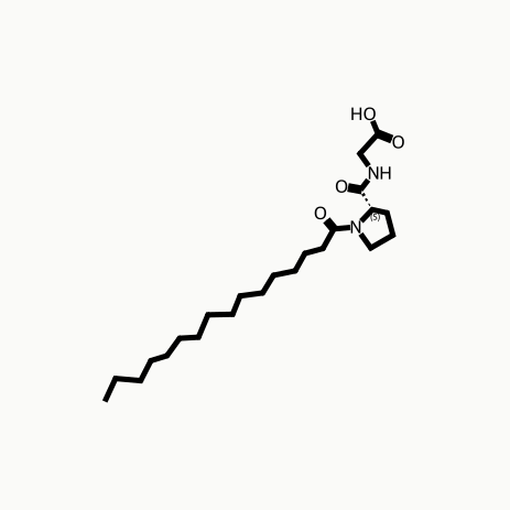 CCCCCCCCCCCCCCCC(=O)N1CCC[C@H]1C(=O)NCC(=O)O